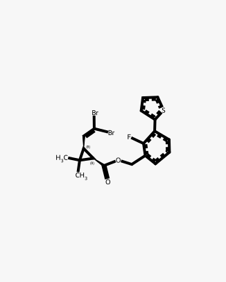 CC1(C)[C@H](C(=O)OCc2cccc(-c3cccs3)c2F)[C@@H]1C=C(Br)Br